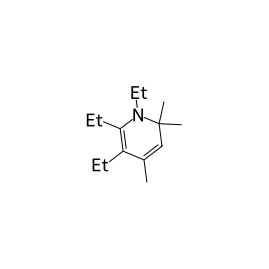 CCC1=C(CC)N(CC)C(C)(C)C=C1C